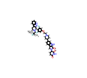 C[C@@H]1Cc2c([nH]c3ccccc23)[C@@H](c2c(F)cc(OCCN3CCC(c4ccc5c6c([nH]c5c4)C(=O)N(C4CCC(=O)NC4=O)C6)CC3)cc2F)N1CC(C)(C)F